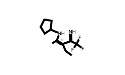 CC/C(C(=N)C(F)(F)F)=C(\C)NC1CCCC1